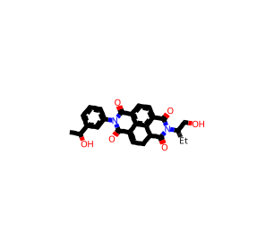 CCC(CO)N1C(=O)c2ccc3c4c2C(CC=C4C(=O)N(c2cccc(C(C)O)c2)C3=O)C1=O